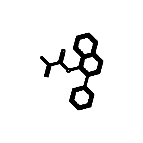 C=C(C)C(=O)Oc1c(-c2ccccc2)ccc2ccccc12